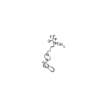 CN(CCCCN1CCN(c2snc3ccccc23)CC1)C(=O)C(F)(F)F